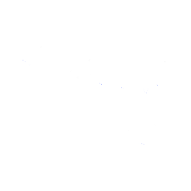 CC(C)(C)c1cc(NC(=O)Nc2cccc(Oc3cccnc3)c2)n(-c2ccc3[nH]ccc3c2)n1